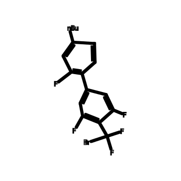 CCCCc1ccc(-c2cc(F)c(C(F)(F)Br)c(F)c2)c(F)c1